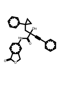 O=C1OCc2cc(NC(=O)C(O)(C#Cc3ccccc3)CC3(c4ccccc4)CC3)ccc21